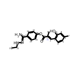 C/C(=C\c1ccc(C)cc1O)C(=O)Oc1ccc(C(N)=NNCI)cc1